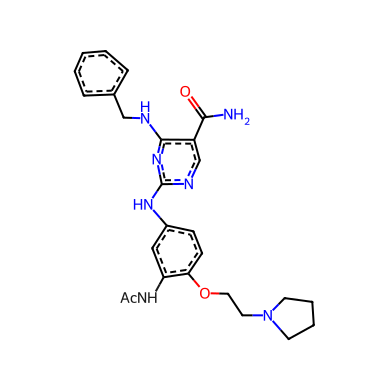 CC(=O)Nc1cc(Nc2ncc(C(N)=O)c(NCc3ccccc3)n2)ccc1OCCN1CCCC1